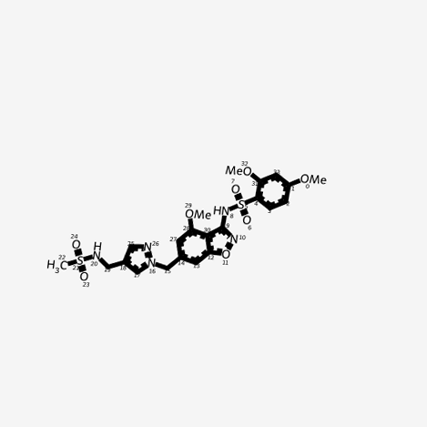 COc1ccc(S(=O)(=O)Nc2noc3cc(Cn4cc(CNS(C)(=O)=O)cn4)cc(OC)c23)c(OC)c1